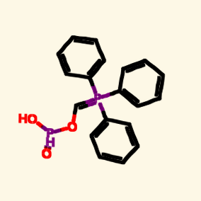 O=[PH](O)OC=P(c1ccccc1)(c1ccccc1)c1ccccc1